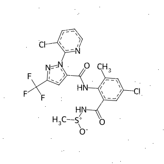 Cc1cc(Cl)cc(C(=O)N[S+](C)[O-])c1NC(=O)c1cc(C(F)(F)F)nn1-c1ncccc1Cl